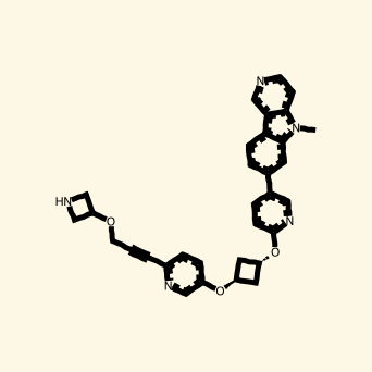 Cn1c2ccncc2c2ccc(-c3ccc(O[C@H]4C[C@H](Oc5ccc(C#CCOC6CNC6)nc5)C4)nc3)cc21